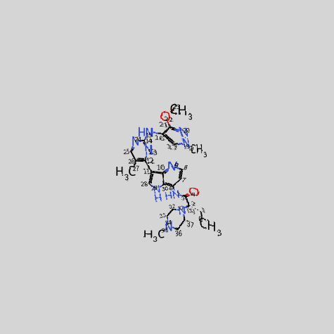 CC[C@@H](C(=O)Nc1ccnc2c(-c3nc(Nc4cn(C)nc4OC)ncc3C)c[nH]c12)N1CCN(C)CC1